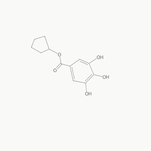 O=C(OC1CCCC1)c1cc(O)c(O)c(O)c1